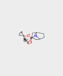 CC[C@@H](C)C1CC2CCC(C1)N2C(=O)OC1(C)CC1